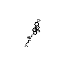 CN(C)CCCONCC[C@H]1CC[C@@]2(O)[C@@H]3CCC4CC(O)CC[C@]4(C)[C@H]3CC[C@]12C